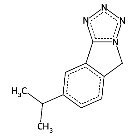 CC(C)c1ccc2c(c1)-c1nnnn1C2